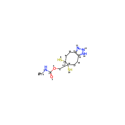 CC(C)NC(=O)OCC1C2(S)CCc3nn[nH]c3CCC12S